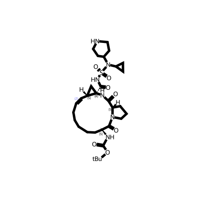 CC(C)(C)OC(=O)N[C@H]1CCCCC/C=C\[C@@H]2C[C@@]2(C(=O)NS(=O)(=O)N(C2CCNCC2)C2CC2)NC(=O)[C@@H]2CCCN2C1=O